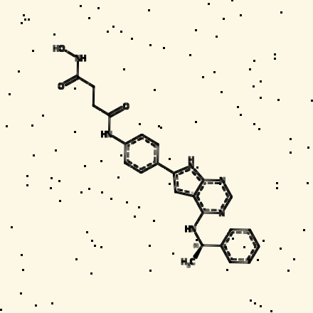 C[C@@H](Nc1ncnc2[nH]c(-c3ccc(NC(=O)CCC(=O)NO)cc3)cc12)c1ccccc1